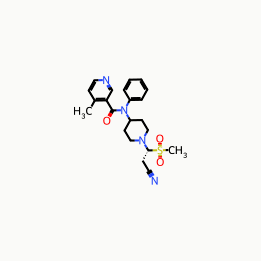 Cc1ccncc1C(=O)N(c1ccccc1)C1CCN([C@@H](CC#N)S(C)(=O)=O)CC1